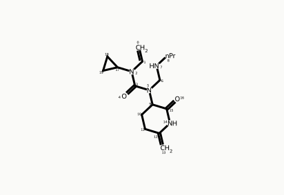 C=CN(C(=O)N(CNCCC)C1CCC(=C)NC1=O)C1CC1